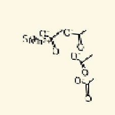 CC(=O)[O-].CC(=O)[O-].CC(=O)[O-].CC(=O)[O-].[Mn+2].[Sr+2]